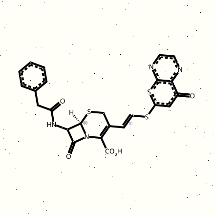 O=C(Cc1ccccc1)NC1C(=O)N2C(C(=O)O)=C(/C=C/Sc3cc(=O)c4nccnc4s3)CS[C@H]12